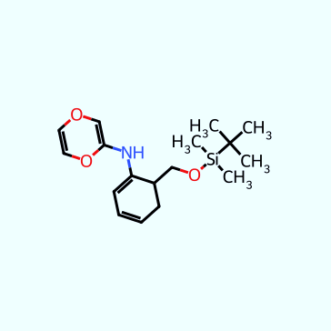 CC(C)(C)[Si](C)(C)OCC1CC=CC=C1NC1=COC=CO1